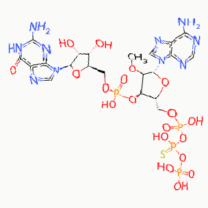 CO[C@@H]1[C@H](OP(=O)(O)OC[C@H]2O[C@@H](n3cnc4c(=O)[nH]c(N)nc43)[C@H](O)[C@@H]2O)[C@@H](COP(=O)(O)OP(O)(=S)OP(=O)(O)O)O[C@H]1n1cnc2c(N)ncnc21